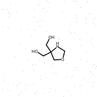 OCC1(CO)COCN1